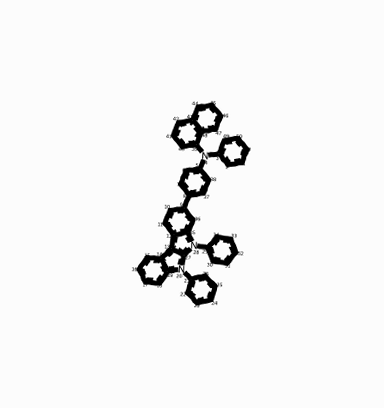 c1ccc(N(c2ccc(-c3ccc4c5c6ccccc6n(-c6ccccc6)c5n(-c5ccccc5)c4c3)cc2)c2cccc3ccccc23)cc1